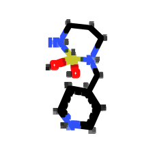 O=S1(=O)NCCCN1Cc1ccncc1